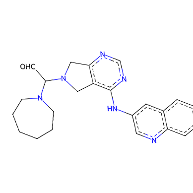 O=CC(N1CCCCCC1)N1Cc2ncnc(Nc3cnc4ccccc4c3)c2C1